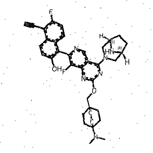 C#Cc1c(F)ccc2c(-c3ncc4c(N5C[C@H]6CC[C@@H](C5)N6)nc(OCC56CCC(N(C)C)(CC5)CC6)nc4c3F)c(O)ccc12